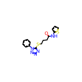 O=C(CCCSc1nnnn1-c1ccccc1)Nc1cccs1